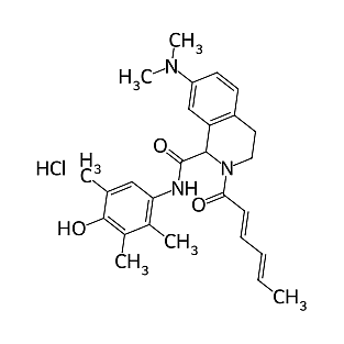 C/C=C/C=C/C(=O)N1CCc2ccc(N(C)C)cc2C1C(=O)Nc1cc(C)c(O)c(C)c1C.Cl